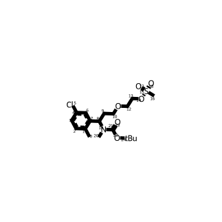 Cc1ccc(Cl)cc1C(CCOCCOS(C)(=O)=O)N(C)C(=O)OC(C)(C)C